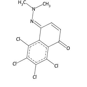 CN(C)N=C1C=CC(=O)c2c(Cl)c(Cl)c(Cl)c(Cl)c21